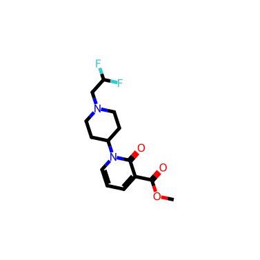 COC(=O)c1cccn(C2CCN(CC(F)F)CC2)c1=O